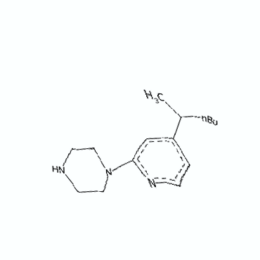 CCCCC(C)c1ccnc(N2CCNCC2)c1